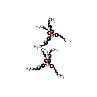 CCCCCCC[C@H]1CC[C@H](C(OC(c2ccc(-c3ccc(CCCC)cn3)cc2)[C@H]2CC[C@H](CCCCCCC)CC2)c2ccc(-c3ccc(CCCC)cn3)cc2)CC1.CCCCCC[C@H]1CC[C@H](C(OC(c2ccc(-c3ccc(CCCC)cn3)cc2)[C@H]2CC[C@H](CCCCCC)CC2)c2ccc(-c3ccc(CCCC)cn3)cc2)CC1